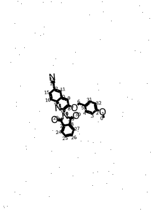 COc1ccc(COc2cc3cc(C#N)ccc3nc2N2C(=O)c3ccccc3C2=O)cc1